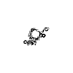 C=C[C@@H]1C[C@]1(NC(=O)[C@@H]1C[C@@H]2CN1C(=O)[C@H](C(C)(C)C)NC(=O)O[C@@H]1CCC[C@H]1CCCCCc1c(nc3ccccc3c1OCCN1CCOCC1)O2)C(=O)NS(=O)(=O)N1CCCCC1